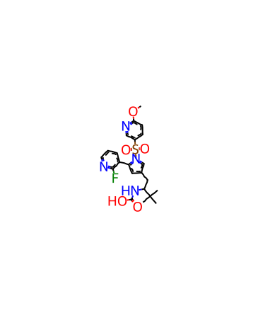 COc1ccc(S(=O)(=O)n2cc(CC(NC(=O)O)C(C)(C)C)cc2-c2cccnc2F)cn1